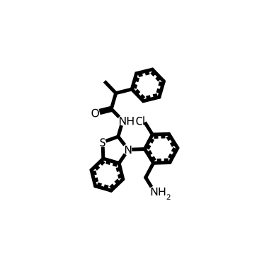 CC(C(=O)NC1Sc2ccccc2N1c1c(Cl)cccc1CN)c1ccccc1